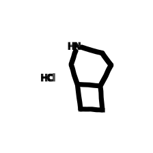 C1CC2CCC2CN1.Cl